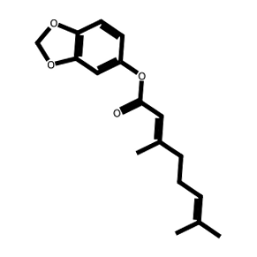 CC(C)=CCC/C(C)=C/C(=O)Oc1ccc2c(c1)OCO2